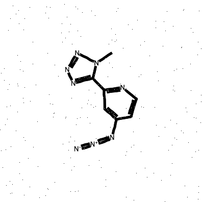 Cn1nnnc1-c1cc(N=[N+]=[N-])ccn1